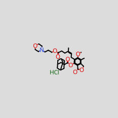 COc1c(C)c2c(c(OC(=O)C34CC5CC(CC(C5)C3)C4)c1CC=C(C)CCC(=O)OCCCN1CCOCC1)C(=O)OC2.Cl